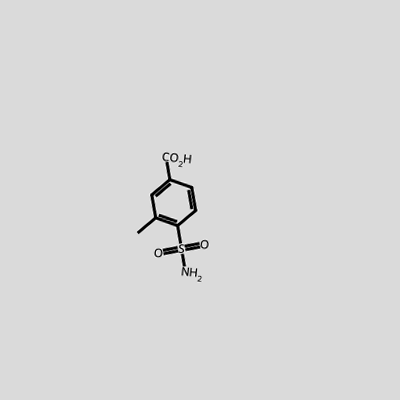 Cc1cc(C(=O)O)ccc1S(N)(=O)=O